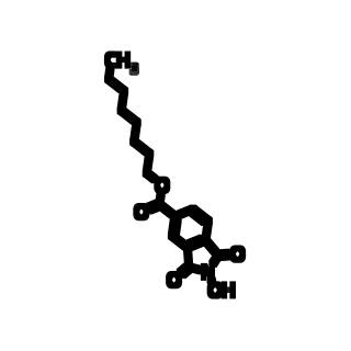 CCCCCCCCOC(=O)c1ccc2c(c1)C(=O)N(O)C2=O